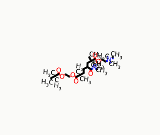 CCC(C)(C)C(=O)OCCOC(=O)C(C)(C)CCC(CC(C)(CC)C(=O)OCC[N+](C)(C)CC)C(=O)N(C)C